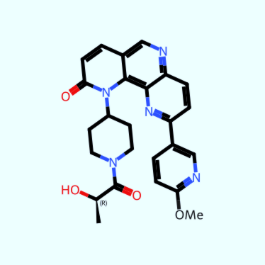 COc1ccc(-c2ccc3ncc4ccc(=O)n(C5CCN(C(=O)[C@@H](C)O)CC5)c4c3n2)cn1